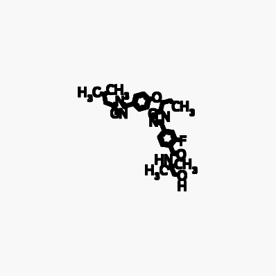 CCC(Oc1ccc(-c2noc(CC(C)C)n2)cc1)c1nc(-c2ccc(C(=O)NC(C)(C)CO)c(F)c2)no1